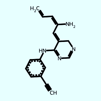 C#Cc1cccc(NC2=NC=NC/C2=C\C(N)=C/C=C)c1